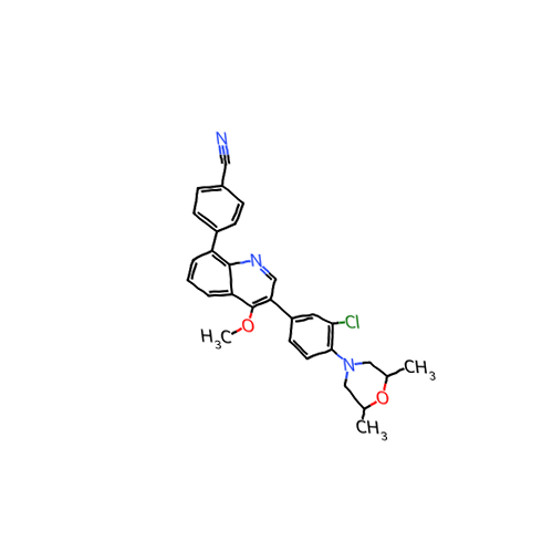 COc1c(-c2ccc(N3CC(C)OC(C)C3)c(Cl)c2)cnc2c(-c3ccc(C#N)cc3)cccc12